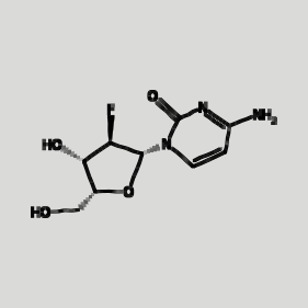 Nc1ccn([C@@H]2O[C@H](CO)[C@H](O)[C@H]2F)c(=O)n1